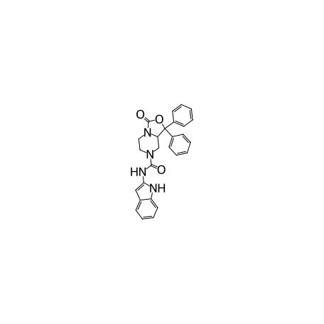 O=C(Nc1cc2ccccc2[nH]1)N1CCN2C(=O)OC(c3ccccc3)(c3ccccc3)C2C1